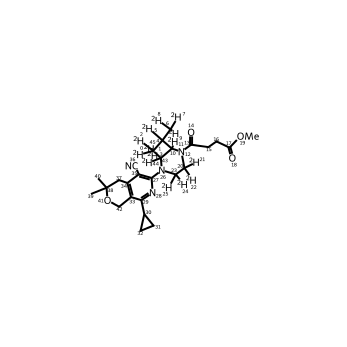 [2H]C([2H])([2H])C([2H])(C([2H])([2H])[2H])C1([2H])N(C(=O)CCC(=O)OC)C([2H])([2H])C([2H])([2H])N(c2nc(C3CC3)c3c(c2C#N)CC(C)(C)OC3)C1([2H])[2H]